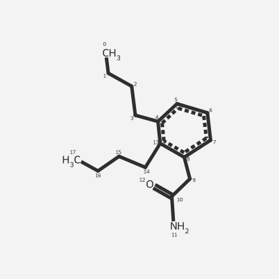 CCCCc1cccc(CC(N)=O)c1CCCC